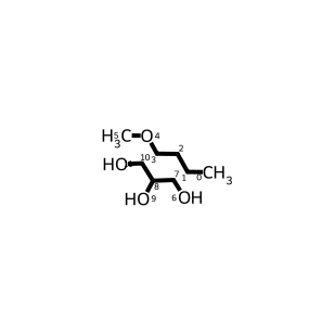 CCCCOC.OCC(O)CO